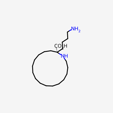 NCCCC[C@]1(C(=O)O)CCCCCCCCCCCCCCCN1